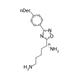 CCCCCCCCCCc1ccc(-c2noc([C@H](N)CCCCN)n2)cc1